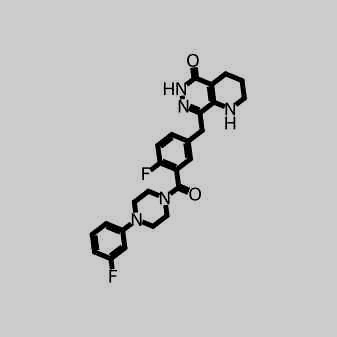 O=C(c1cc(Cc2n[nH]c(=O)c3c2NCCC3)ccc1F)N1CCN(c2cccc(F)c2)CC1